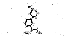 CC(C)(C)CN(C(=O)O)c1cccc(-c2cncc(Br)c2)c1